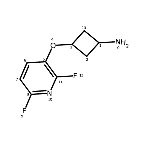 NC1CC(Oc2ccc(F)nc2F)C1